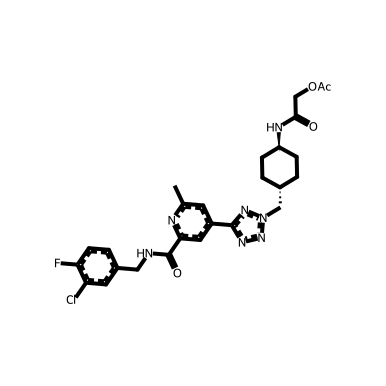 CC(=O)OCC(=O)N[C@H]1CC[C@H](Cn2nnc(-c3cc(C)nc(C(=O)NCc4ccc(F)c(Cl)c4)c3)n2)CC1